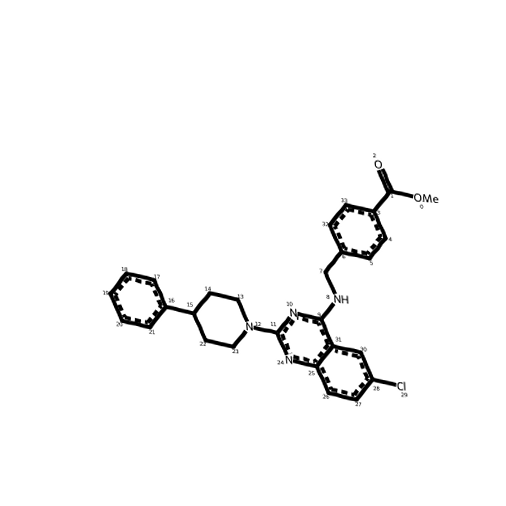 COC(=O)c1ccc(CNc2nc(N3CCC(c4ccccc4)CC3)nc3ccc(Cl)cc23)cc1